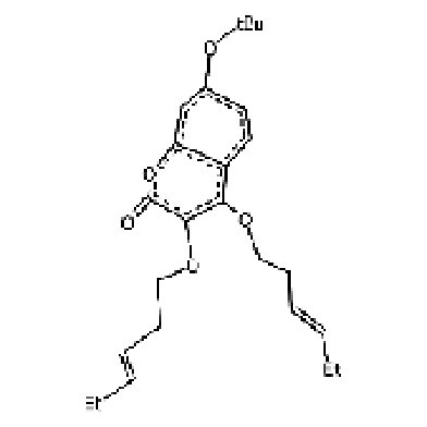 CCC=CCCOc1c(OCCC=CCC)c2ccc(OC(C)(C)C)cc2oc1=O